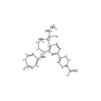 CC(=O)N1CC=C(c2ccc3c(c2)C(NC2=CC=C(C)CC=C2)CCN/C3=C(/C)NN)CC1